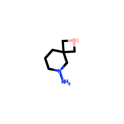 NN1CCCC2(CBC2)C1